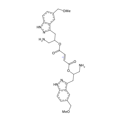 COCc1ccc2[nH]nc(CC(CN)OC(=O)/C=C/C(=O)OC(CN)Cc3n[nH]c4ccc(COC)cc34)c2c1